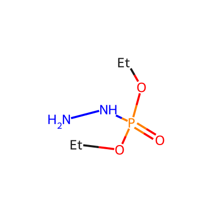 CCOP(=O)(NN)OCC